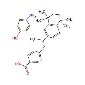 C/C(=C\c1ccc(C(=O)O)cc1)c1ccc2c(c1)C(C)(C)CCC2(C)C.Nc1ccc(O)cc1